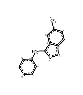 FC(F)(F)c1ccc2onc(Nc3ccncc3)c2c1